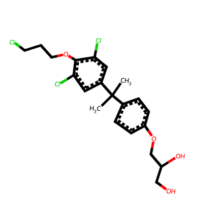 CC(C)(c1ccc(OCC(O)CO)cc1)c1cc(Cl)c(OCCCCl)c(Cl)c1